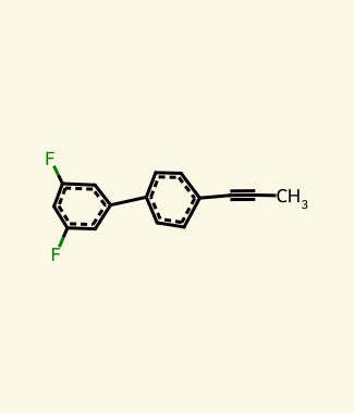 CC#Cc1ccc(-c2cc(F)cc(F)c2)cc1